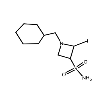 NS(=O)(=O)C1CN(CC2CCCCC2)C1I